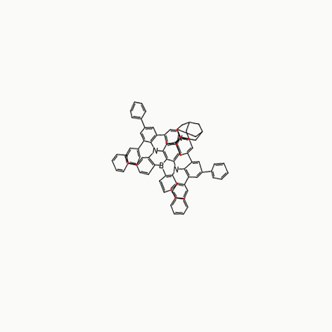 c1ccc(-c2cc(-c3ccccc3)c(N3c4cc(-c5ccccc5)ccc4B4c5ccc(-c6ccccc6)cc5N(c5c(-c6ccccc6)cc(-c6ccccc6)cc5-c5ccccc5)c5cc(N6C7CC8CC(C7)CC6C8)cc3c54)c(-c3ccccc3)c2)cc1